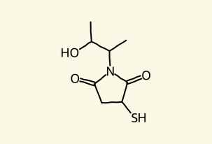 CC(O)C(C)N1C(=O)CC(S)C1=O